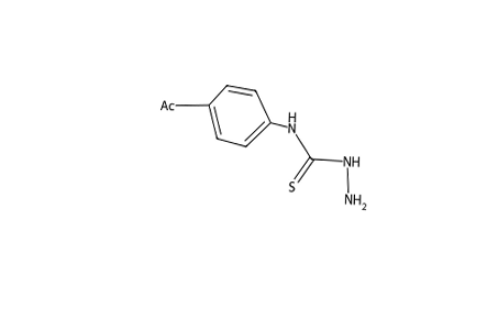 CC(=O)c1ccc(NC(=S)NN)cc1